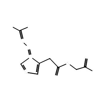 CC(C)=NN=S1C=NC=C1CC(=O)NCC(=O)O